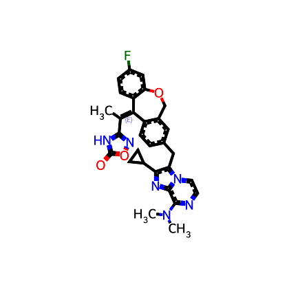 C/C(=C1/c2ccc(Cc3c(C4CC4)nc4c(N(C)C)nccn34)cc2COc2cc(F)ccc21)c1noc(=O)[nH]1